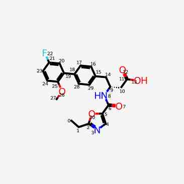 CCc1ncc(C(=O)N[C@@H](CC(=O)O)Cc2ccc(-c3cc(F)ccc3OC)cc2)o1